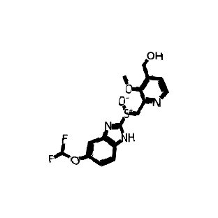 COc1c(CO)ccnc1C[S+]([O-])c1nc2cc(OC(F)F)ccc2[nH]1